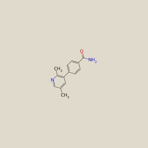 Cc1cnc(C)c(-c2ccc(C(N)=O)cc2)c1